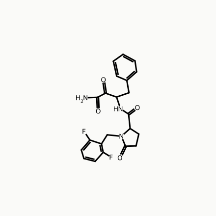 NC(=O)C(=O)C(Cc1ccccc1)NC(=O)C1CCC(=O)N1Cc1c(F)cccc1F